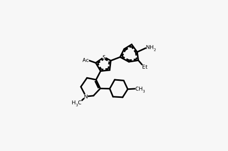 CCc1cc(-c2cc(C3=C(C4CCC(C)CC4)CN(C)CC3)c(C(C)=O)s2)ccc1N